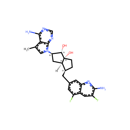 Cc1cn([C@@H]2C[C@@H]3[C@H](Cc4cc(F)c5cc(F)c(N)nc5c4)CC[C@]3(O)[C@H]2O)c2ncnc(N)c12